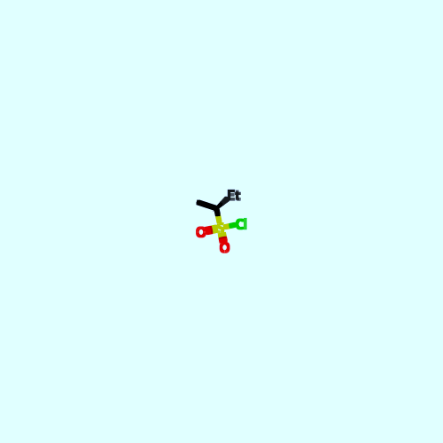 CC[C@H](C)S(=O)(=O)Cl